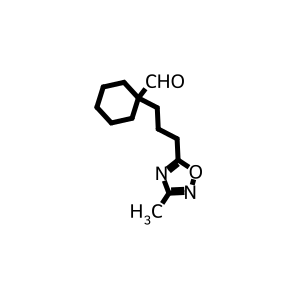 Cc1noc(CCCC2(C=O)CCCCC2)n1